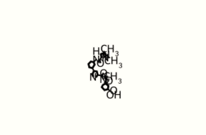 Cc1cc(C(=O)Nc2cccc(-c3cncc(C(=O)N=S(C)(=O)c4cccc(C(=O)O)c4)c3)c2)n(C)n1